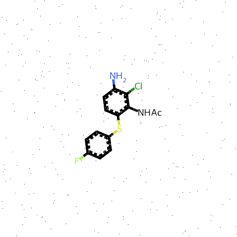 CC(=O)Nc1c(Sc2ccc(F)cc2)ccc(N)c1Cl